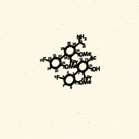 CCCc1c(-c2cc(F)ccc2OC)ccc(C(C)=O)c1O.CCCc1c(-c2cc(F)ccc2OC)ccc(C(C)N)c1OC